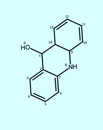 OC1c2ccccc2NC2C=CC=CC21